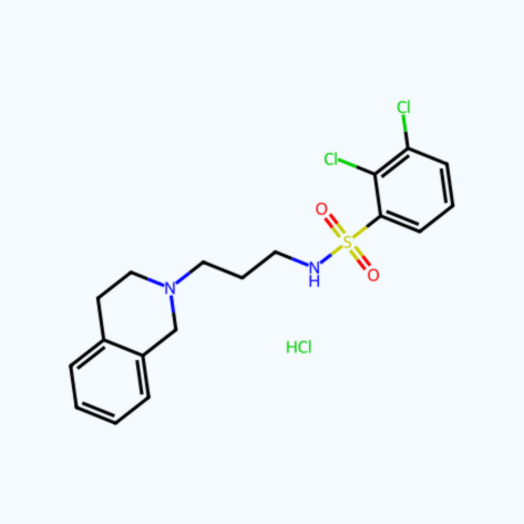 Cl.O=S(=O)(NCCCN1CCc2ccccc2C1)c1cccc(Cl)c1Cl